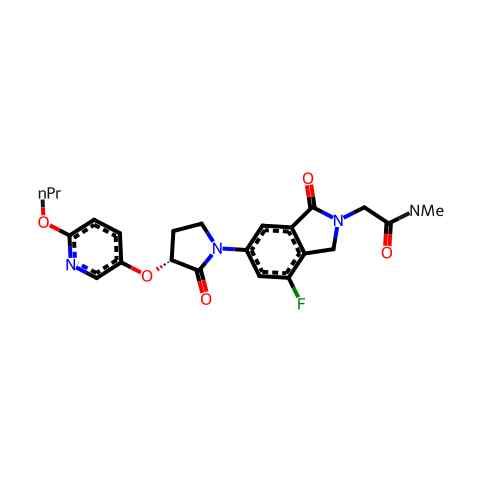 CCCOc1ccc(O[C@@H]2CCN(c3cc(F)c4c(c3)C(=O)N(CC(=O)NC)C4)C2=O)cn1